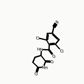 N#Cc1cc(Cl)c(C(=O)NC2CCC(=O)NC2=O)c(Cl)c1